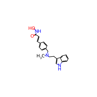 CN(CCc1c[nH]c2ccccc12)Cc1ccc(/C=C/C(=O)NO)cc1